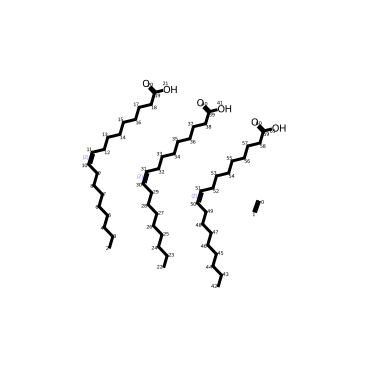 C=C.CCCCCCCC/C=C\CCCCCCCC(=O)O.CCCCCCCC/C=C\CCCCCCCC(=O)O.CCCCCCCC/C=C\CCCCCCCC(=O)O